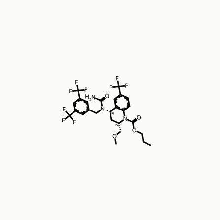 CCCOC(=O)N1c2ccc(C(F)(F)F)cc2[C@@H](N(Cc2cc(C(F)(F)F)cc(C(F)(F)F)c2)C(N)=O)C[C@H]1COC